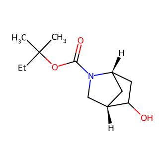 CCC(C)(C)OC(=O)N1C[C@@H]2C[C@H]1CC2O